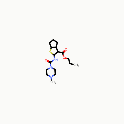 CCCOC(=O)C1C(NC(=O)N2CCN(C)CC2)SC2CCCC21